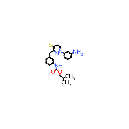 CC(C)COC(=O)Nc1cccc(Cc2nn(-c3cccc(N)c3)ccc2=S)c1